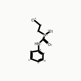 CCN(CCCl)C(=O)Nc1ccccc1